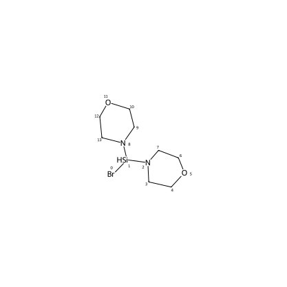 Br[SiH](N1CCOCC1)N1CCOCC1